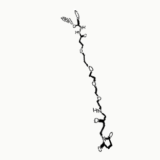 CC(C)(C)OC(=O)NNC(=O)CCOCCOCCOCCOCCNCC(=O)CCN1C(=O)C=CC1=O